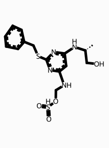 C[C@H](CO)Nc1cc(NCO[SH](=O)=O)nc(SCc2ccccc2)n1